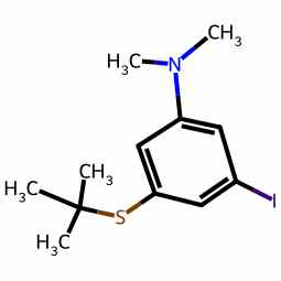 CN(C)c1cc(I)cc(SC(C)(C)C)c1